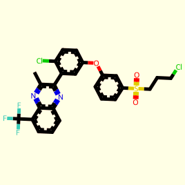 Cc1nc2c(C(F)(F)F)cccc2nc1-c1cc(Oc2cccc(S(=O)(=O)CCCCl)c2)ccc1Cl